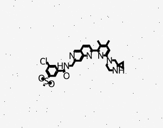 Cc1cc(N2CCNC3(CC3)C2)nc(-c2ccc3cnc(CNC(=O)c4cc(Cl)cc(S(C)(=O)=O)c4)cc3n2)c1C